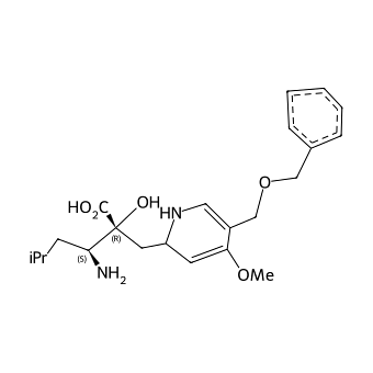 COC1=CC(C[C@](O)(C(=O)O)[C@@H](N)CC(C)C)NC=C1COCc1ccccc1